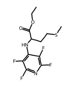 CCOC(=O)C(CCSC)Nc1c(F)c(F)nc(F)c1F